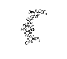 O=C1Nc2ccc(-c3cc(Cl)cc(C(F)(F)F)c3)cc2C(=O)N2CCN(C(=O)COc3ccc(OC(F)(F)F)cc3Br)C[C@@H]12